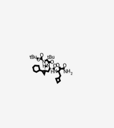 CC(C)(C)OC(=O)N[C@H](C(=O)N1C[C@@]2(CC2C2CCCCC2)C[C@H]1C(=O)NC(CC1CCC1)C(=O)C(N)=O)C(C)(C)C